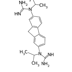 CC(C)N(C(=N)N)c1ccc2c(c1)Cc1cc(N(C(=N)N)C(C)C)ccc1-2